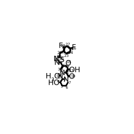 CN1C2C(O)CCCN2C(=O)c2c(O)c(=O)c(-c3nnc(Cc4ccc(F)cc4F)s3)cn21